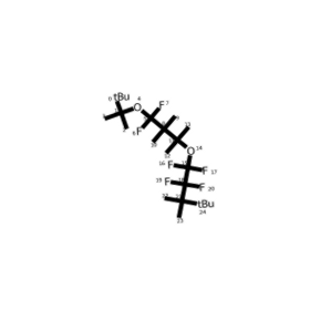 CC(C)(C)C(C)(C)OC(F)(F)C(C)(C)C(C)(C)OC(F)(F)C(F)(F)C(C)(C)C(C)(C)C